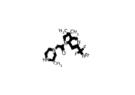 CCCC(F)(F)C1=CC2C(C=N1)C(C)(C)CN2C(=O)CN1CCNC(C)C1